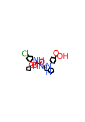 O=C(Nc1cc(Cl)ccc1OC1CCC1)C(=O)N[C@H](CNc1ccc(C(=O)O)cc1)Cc1ccccc1